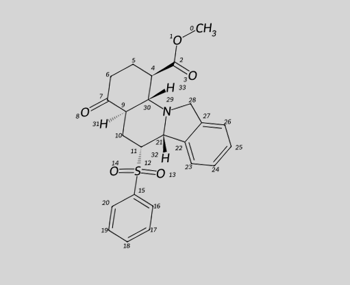 COC(=O)[C@@H]1CCC(=O)[C@@H]2C[C@@H](S(=O)(=O)c3ccccc3)[C@H]3c4ccccc4CN3[C@H]21